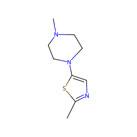 Cc1ncc(N2CCN(C)CC2)s1